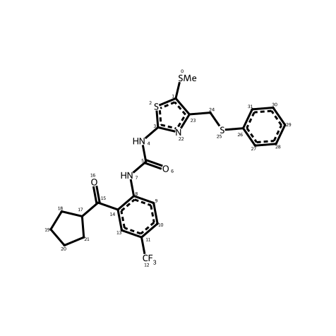 CSc1sc(NC(=O)Nc2ccc(C(F)(F)F)cc2C(=O)C2CCCC2)nc1CSc1ccccc1